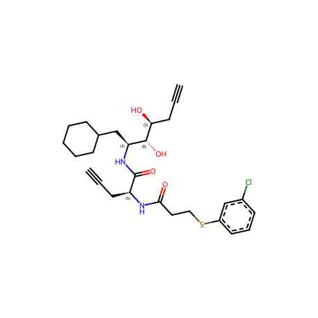 C#CC[C@H](NC(=O)CCSc1cccc(Cl)c1)C(=O)N[C@@H](CC1CCCCC1)[C@@H](O)[C@@H](O)CC#C